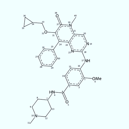 COc1cc(C(=O)NC2CCN(C)CC2)ccc1Nc1ncc2c(n1)c(-c1ccccc1)c(OCC1CC1)c(=O)n2C